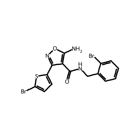 Nc1onc(-c2ccc(Br)s2)c1C(=O)NCc1ccccc1Br